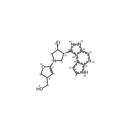 CC[C@@H]1CN(C2=CC(CO)CO2)C[C@@H]1c1nnc2cnc3[nH]ccc3n12